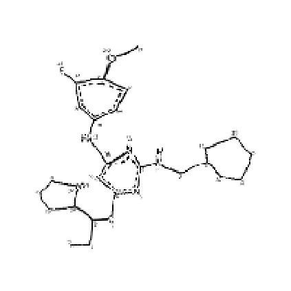 CCC(Oc1nc(NCC2CCCCC2)nc(Nc2ccc(OC)c(F)c2)n1)C1CCCN1